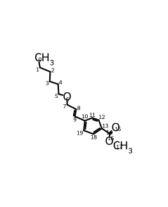 CCCCCCOC/C=C/c1ccc(C(=O)OC)cc1